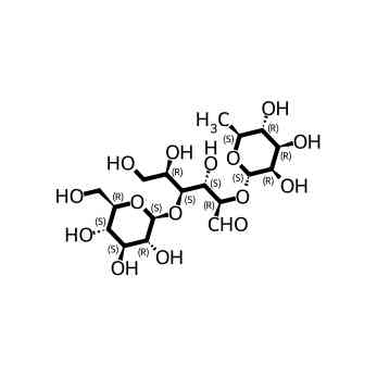 C[C@@H]1O[C@@H](O[C@@H](C=O)[C@@H](O)[C@@H](O[C@@H]2O[C@H](CO)[C@@H](O)[C@H](O)[C@H]2O)[C@H](O)CO)[C@H](O)[C@H](O)[C@H]1O